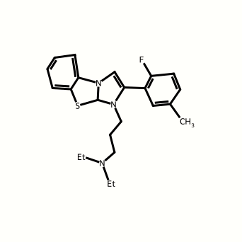 CCN(CC)CCCN1C(c2cc(C)ccc2F)=CN2c3ccccc3SC12